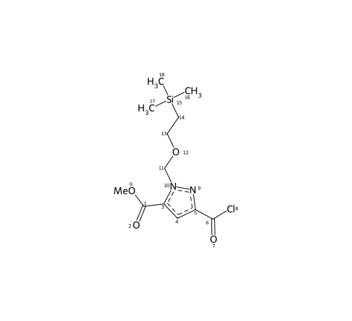 COC(=O)c1cc(C(=O)Cl)nn1COCC[Si](C)(C)C